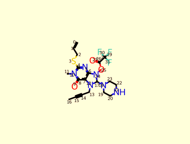 C=CCSc1nc2c(c(=O)n1C)N(CC#CC)C(N1CCNCC1)N2OC(=O)C(F)(F)F